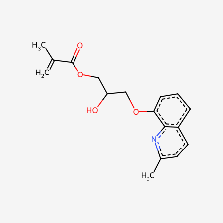 C=C(C)C(=O)OCC(O)COc1cccc2ccc(C)nc12